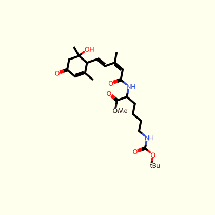 COC(=O)C(CCCCNC(=O)OC(C)(C)C)NC(=O)/C=C(C)\C=C\C1C(C)=CC(=O)CC1(C)O